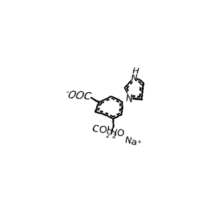 O.O=C([O-])c1cccc(C(=O)O)c1.[Na+].c1c[nH]cn1